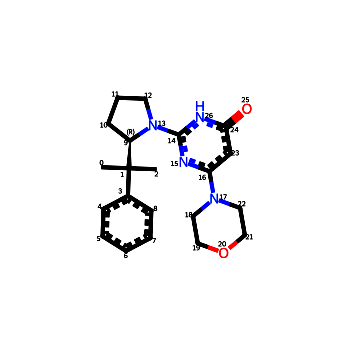 CC(C)(c1ccccc1)[C@H]1CCCN1c1nc(N2CCOCC2)cc(=O)[nH]1